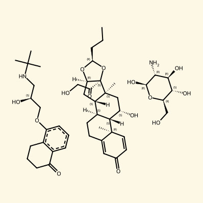 CC(C)(C)NC[C@H](O)COc1cccc2c1CCCC2=O.CCC[C@@H]1O[C@@H]2C[C@H]3[C@@H]4CCC5=CC(=O)C=C[C@]5(C)[C@H]4[C@@H](O)C[C@]3(C)[C@]2(C(=O)CO)O1.N[C@@H]1[C@@H](O)[C@H](O)[C@@H](CO)O[C@H]1O